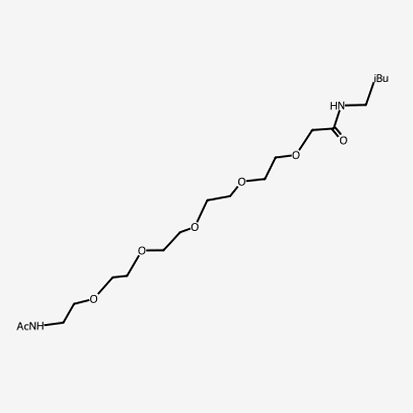 CCC(C)CNC(=O)COCCOCCOCCOCCOCCNC(C)=O